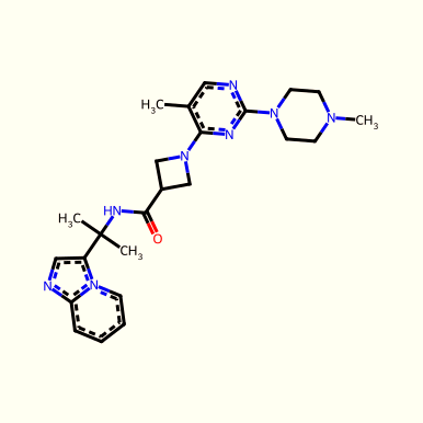 Cc1cnc(N2CCN(C)CC2)nc1N1CC(C(=O)NC(C)(C)c2cnc3ccccn23)C1